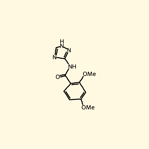 COc1ccc(C(=O)Nc2nc[nH]n2)c(OC)c1